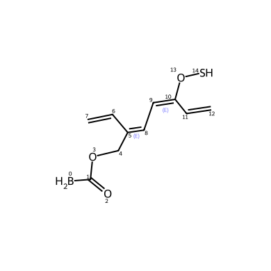 BC(=O)OC/C(C=C)=C/C=C(\C=C)OS